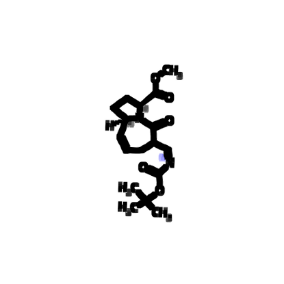 COC(=O)[C@@H]1CC[C@@H]2C=CCC(/C=N\C(=O)OC(C)(C)C)C(=O)N21